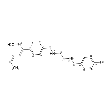 C=N/C(=C\C=C/C)c1ccc(CNCCNCc2ccc(F)cc2)cc1